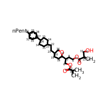 C=C(C)C(=O)OCC(CCOC(=O)C(=C)CO)C1CCC(CCC2CCC(c3ccc(CCCCC)cc3)CC2)CO1